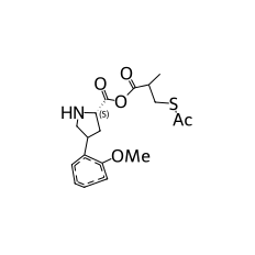 COc1ccccc1C1CN[C@H](C(=O)OC(=O)C(C)CSC(C)=O)C1